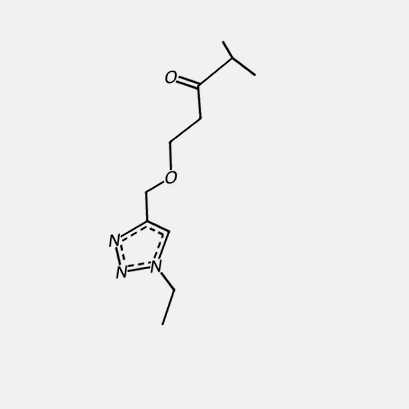 CCn1cc(COCCC(=O)C(C)C)nn1